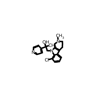 CN1CCc2c(n(CC(C)(O)c3ccncc3)c3c(Cl)cccc23)C1